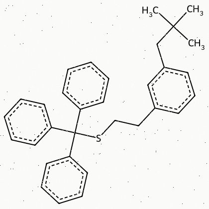 CC(C)(C)Cc1cccc(CCSC(c2ccccc2)(c2ccccc2)c2ccccc2)c1